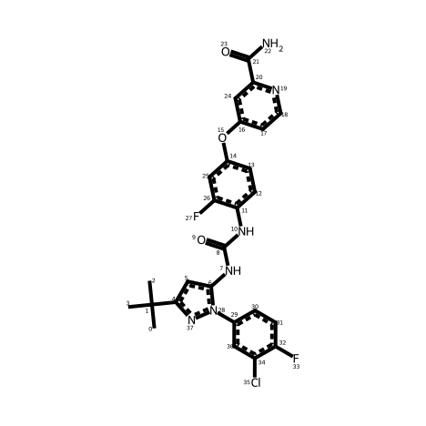 CC(C)(C)c1cc(NC(=O)Nc2ccc(Oc3ccnc(C(N)=O)c3)cc2F)n(-c2ccc(F)c(Cl)c2)n1